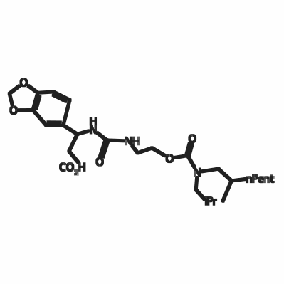 CCCCCC(C)CN(CC(C)C)C(=O)OCCNC(=O)NC(CC(=O)O)c1ccc2c(c1)OCO2